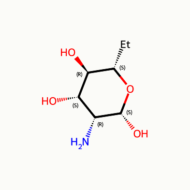 CC[C@@H]1O[C@H](O)[C@H](N)[C@H](O)[C@H]1O